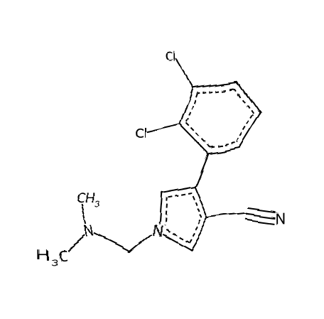 CN(C)Cn1cc(C#N)c(-c2cccc(Cl)c2Cl)c1